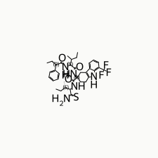 CCC(C)[C@H](NC(=O)[C@H](CC)c1ccccc1)C(=O)N[C@]1(C(=O)NC(C(N)=S)[C@@H](C)CC)CCc2[nH]c3c(C(F)(F)F)cccc3c2C1